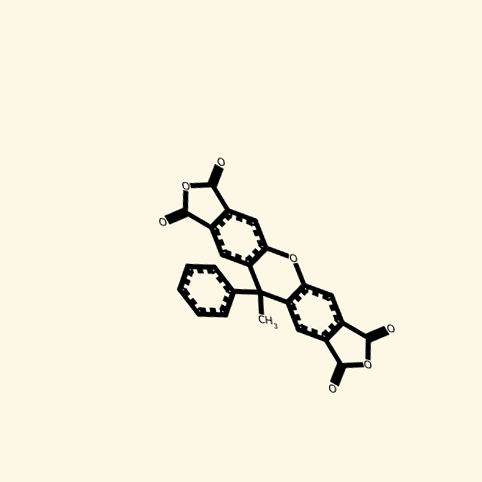 CC1(c2ccccc2)c2cc3c(cc2Oc2cc4c(cc21)C(=O)OC4=O)C(=O)OC3=O